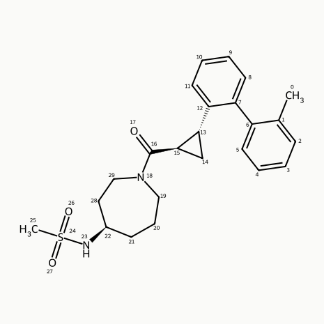 Cc1ccccc1-c1ccccc1[C@@H]1C[C@H]1C(=O)N1CCC[C@@H](NS(C)(=O)=O)CC1